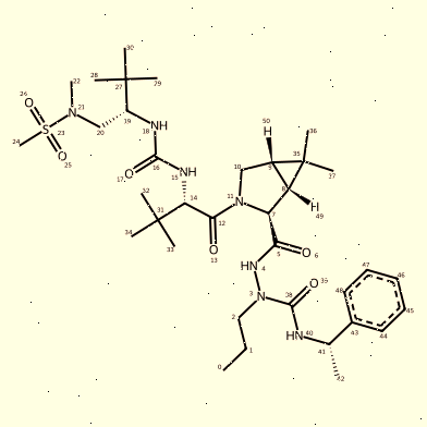 CCCN(NC(=O)[C@@H]1[C@@H]2[C@H](CN1C(=O)[C@@H](NC(=O)N[C@H](CN(C)S(C)(=O)=O)C(C)(C)C)C(C)(C)C)C2(C)C)C(=O)N[C@@H](C)c1ccccc1